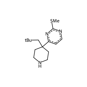 CSc1nccc(C2(CC(C)(C)C)CCNCC2)n1